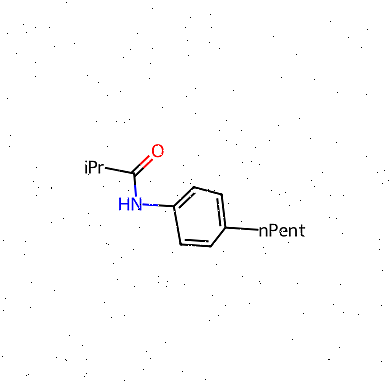 CCCCCc1ccc(NC(=O)C(C)C)cc1